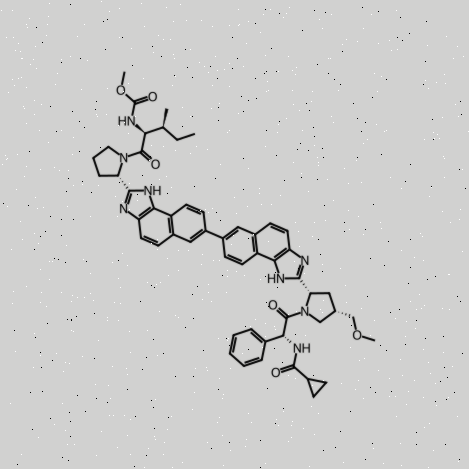 CC[C@H](C)[C@H](NC(=O)OC)C(=O)N1CCC[C@H]1c1nc2ccc3cc(-c4ccc5c(ccc6nc([C@@H]7C[C@H](COC)CN7C(=O)[C@H](NC(=O)C7CC7)c7ccccc7)[nH]c65)c4)ccc3c2[nH]1